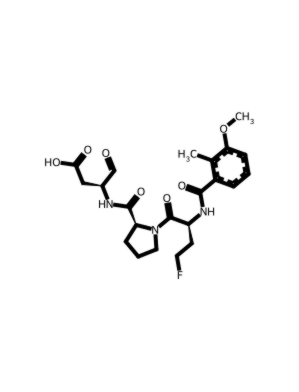 COc1cccc(C(=O)N[C@@H](CCF)C(=O)N2CCC[C@H]2C(=O)N[C@H](C=O)CC(=O)O)c1C